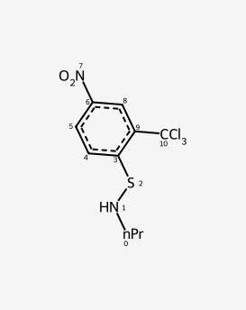 CCCNSc1ccc([N+](=O)[O-])cc1C(Cl)(Cl)Cl